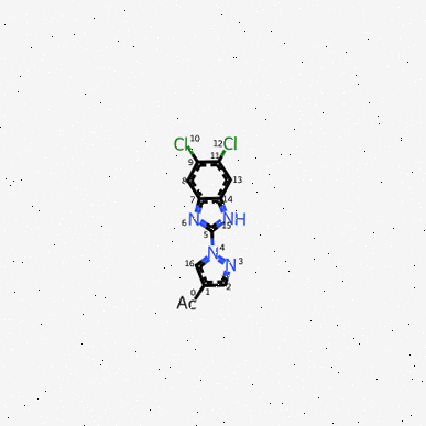 CC(=O)c1cnn(-c2nc3cc(Cl)c(Cl)cc3[nH]2)c1